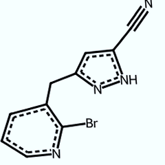 N#Cc1cc(Cc2cccnc2Br)n[nH]1